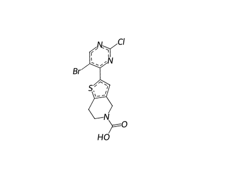 O=C(O)N1CCc2sc(-c3nc(Cl)ncc3Br)cc2C1